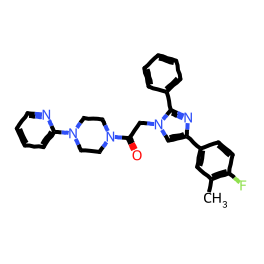 Cc1cc(-c2cn(CC(=O)N3CCN(c4ccccn4)CC3)c(-c3ccccc3)n2)ccc1F